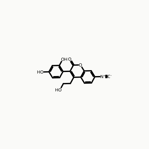 [C-]#[N+]c1ccc2c(CCO)c(-c3ccc(O)cc3O)c(=O)oc2c1